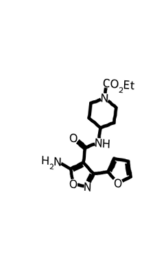 CCOC(=O)N1CCC(NC(=O)c2c(-c3ccco3)noc2N)CC1